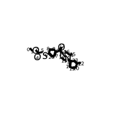 CCOC(=O)CSc1ccc(C(=O)N2CCN(c3cccc(C)c3)C(C)C2)cc1